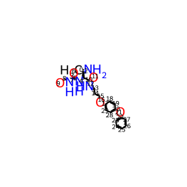 C/C(N)=C(\NC(=O)NC=O)C(=O)NCCCOc1ccc(Oc2ccccc2)cc1